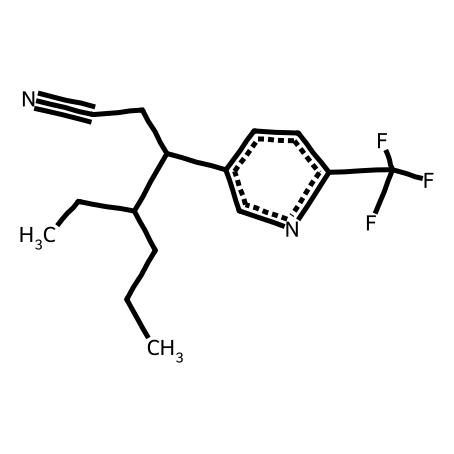 CCCC(CC)C(CC#N)c1ccc(C(F)(F)F)nc1